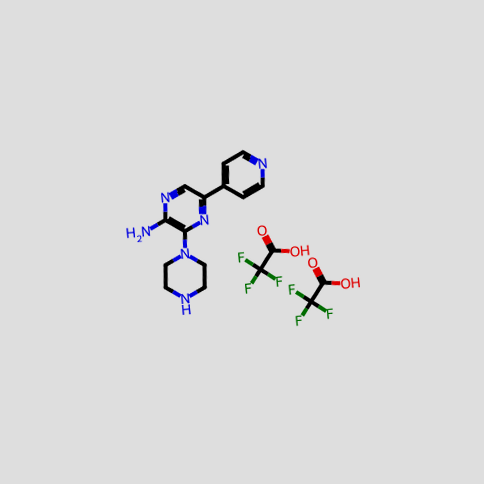 Nc1ncc(-c2ccncc2)nc1N1CCNCC1.O=C(O)C(F)(F)F.O=C(O)C(F)(F)F